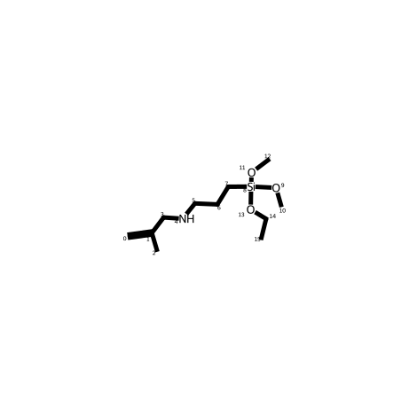 C=C(C)CNCCC[Si](OC)(OC)OCC